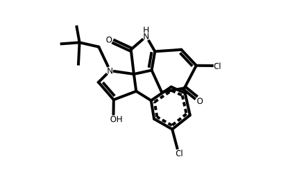 CC(C)(C)CN1C=C(O)C(c2cccc(Cl)c2)C12C(=O)NC1=C2CC(=O)C(Cl)=C1